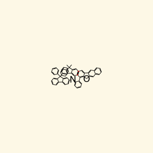 CC1(C)C2=C(CCC=C2)c2c(N(c3ccc4c(c3)C(c3ccccc3)(c3ccccc3)c3ccccc3-4)c3ccccc3-c3cccc4c3oc3cc5ccccc5cc34)cccc21